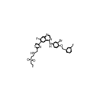 CCCS(=O)(=O)CCNCc1nc(-c2cc3c(Nc4ccc(OCc5cccc(F)c5)c(Br)c4)ncnc3cc2F)cs1